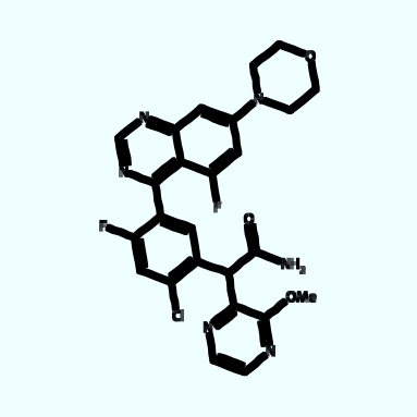 COc1nccnc1C(C(N)=O)c1cc(-c2ncnc3cc(N4CCOCC4)cc(F)c23)c(F)cc1Cl